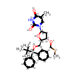 CSCO[C@H]1C[C@H](n2cc(C)c(=O)[nH]c2=O)O[C@@H]1CO[Si](c1ccccc1)(c1ccccc1)C(C)(C)C